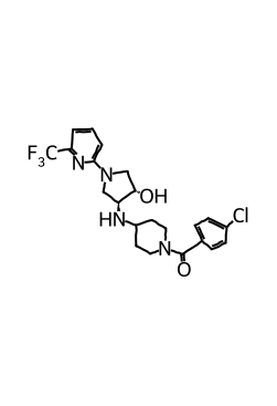 O=C(c1ccc(Cl)cc1)N1CCC(N[C@H]2CN(c3cccc(C(F)(F)F)n3)C[C@@H]2O)CC1